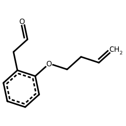 C=CCCOc1ccccc1CC=O